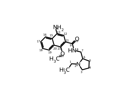 CCN1CCCC1CNC(=O)c1cc(N)c2ccccc2c1OC